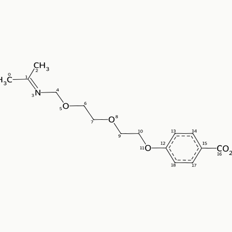 CC(C)=NCOCCOCCOc1ccc(C(=O)O)cc1